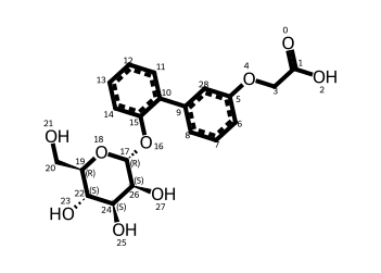 O=C(O)COc1cccc(-c2ccccc2O[C@H]2O[C@H](CO)[C@@H](O)[C@H](O)[C@@H]2O)c1